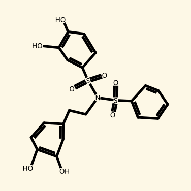 O=S(=O)(c1ccccc1)N(CCc1ccc(O)c(O)c1)S(=O)(=O)c1ccc(O)c(O)c1